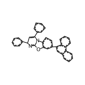 C1=C(c2ccccc2)N2C(=NC1c1ccccc1)Oc1cc(-c3cc4ccccc4c4ccccc34)ccc12